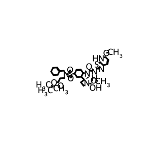 COC1C=CC2N=C(NC(=O)N3C[C@]4(CCN4C(O)OC)C4CC(S(=O)(=O)N(CCC(=O)OC(C)(C)C)CC5=CCCCC5)C=CC43)SC2N1